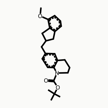 COc1cccc2c1CC(Cc1ccc3c(c1)CCCN3C(=O)OC(C)(C)C)C2